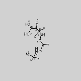 CC(=O)C(C)(C)NCC(C)ONC(C)(C)C(=O)C(O)O